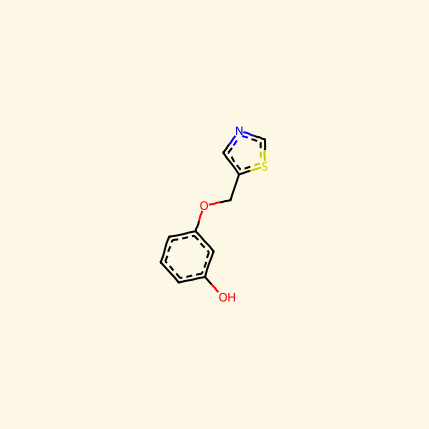 Oc1cccc(OCc2cncs2)c1